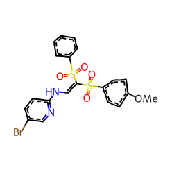 COc1ccc(S(=O)(=O)C(=CNc2ccc(Br)cn2)S(=O)(=O)c2ccccc2)cc1